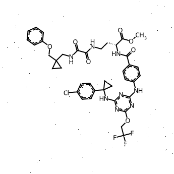 COC(=O)[C@@H](CCNC(=O)C(=O)NCC1(COc2ccccc2)CC1)NC(=O)c1ccc(Nc2nc(NC3(c4ccc(Cl)cc4)CC3)nc(OCC(F)(F)F)n2)cc1